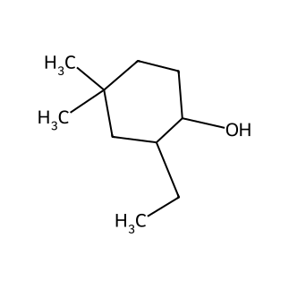 CCC1CC(C)(C)CCC1O